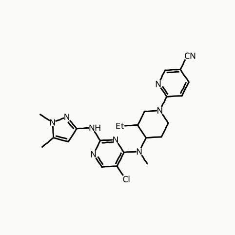 CCC1CN(c2ccc(C#N)cn2)CCC1N(C)c1nc(Nc2cc(C)n(C)n2)ncc1Cl